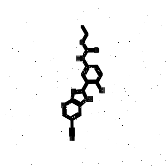 CCOC(=O)Nc1ccc(Cl)c(-c2nc3ncc(C#N)cc3[nH]2)c1